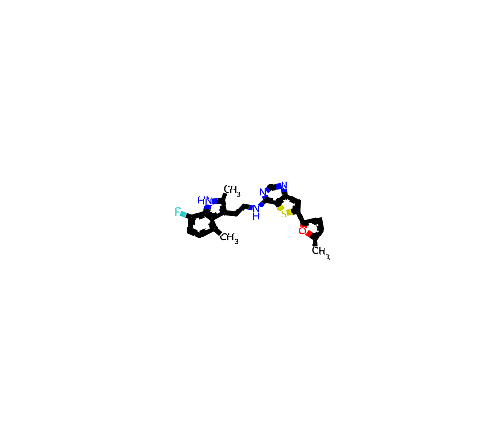 Cc1ccc(-c2cc3ncnc(NCCc4c(C)[nH]c5c(F)ccc(C)c45)c3s2)o1